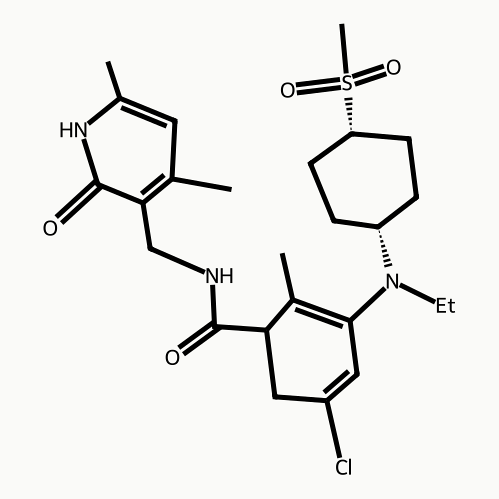 CCN(C1=C(C)C(C(=O)NCc2c(C)cc(C)[nH]c2=O)CC(Cl)=C1)[C@H]1CC[C@@H](S(C)(=O)=O)CC1